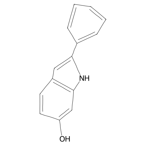 Oc1ccc2cc(-c3ccccc3)[nH]c2c1